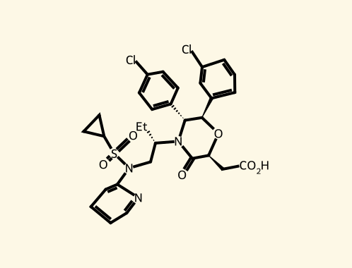 CC[C@@H](CN(c1ccccn1)S(=O)(=O)C1CC1)N1C(=O)[C@H](CC(=O)O)O[C@H](c2cccc(Cl)c2)[C@H]1c1ccc(Cl)cc1